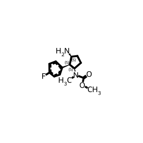 COC(=O)N(C)[C@H]1CC[C@H](N)[C@@H]1c1ccc(F)cc1